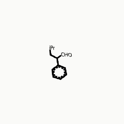 CC(C)CC(C=O)c1ccccc1